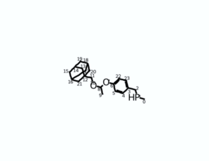 CPCc1ccc(OC(C)OCC23CC4CC(CC(C4)C2)C3)cc1